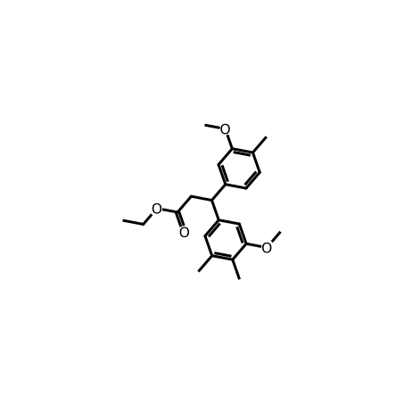 CCOC(=O)CC(c1ccc(C)c(OC)c1)c1cc(C)c(C)c(OC)c1